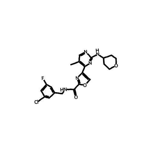 Cc1cnc(NC2CCOCC2)nc1-c1coc(C(=O)NCc2cc(F)cc(Cl)c2)n1